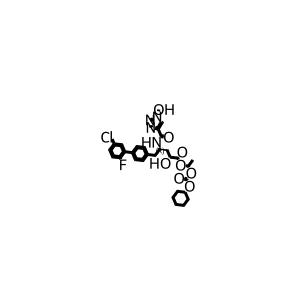 CC(OC(=O)OC1CCCCC1)OC(=O)C(O)C[C@@H](Cc1ccc(-c2cc(Cl)ccc2F)cc1)NC(=O)c1cn(O)nn1